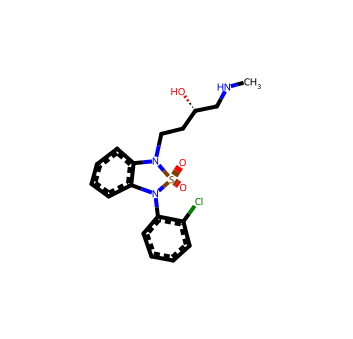 CNC[C@@H](O)CCN1c2ccccc2N(c2ccccc2Cl)S1(=O)=O